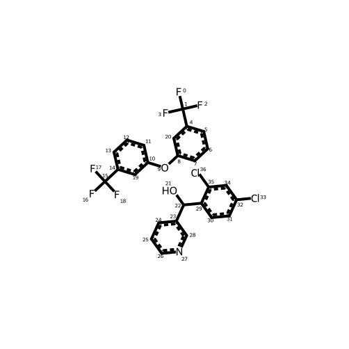 FC(F)(F)c1cccc(Oc2cccc(C(F)(F)F)c2)c1.OC(c1cccnc1)c1ccc(Cl)cc1Cl